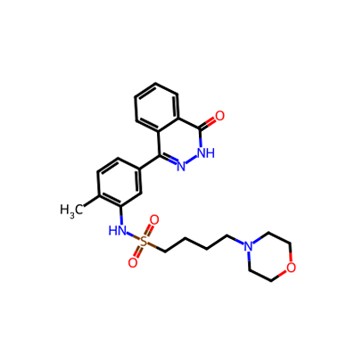 Cc1ccc(-c2n[nH]c(=O)c3ccccc23)cc1NS(=O)(=O)CCCCN1CCOCC1